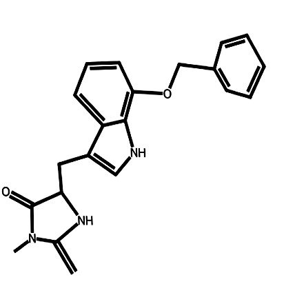 C=C1NC(Cc2c[nH]c3c(OCc4ccccc4)cccc23)C(=O)N1C